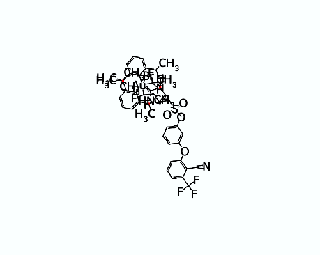 CC(C)c1cccc(C(C)C)[c]1[Au]([Br])([c]1c(C(C)C)cccc1C(C)C)(=[c]1[nH]cc[nH]1)([C](F)(F)F)[C](F)(F)CCCS(=O)(=O)Oc1cccc(Oc2cccc(C(F)(F)F)c2C#N)c1